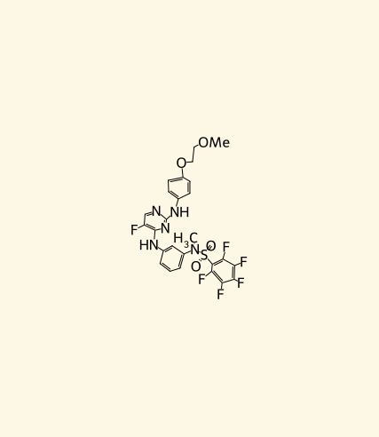 COCCOc1ccc(Nc2ncc(F)c(Nc3cccc(N(C)S(=O)(=O)c4c(F)c(F)c(F)c(F)c4F)c3)n2)cc1